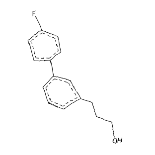 OCCCc1cccc(-c2ccc(F)cc2)c1